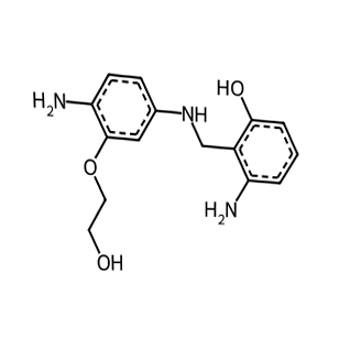 Nc1ccc(NCc2c(N)cccc2O)cc1OCCO